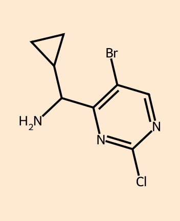 NC(c1nc(Cl)ncc1Br)C1CC1